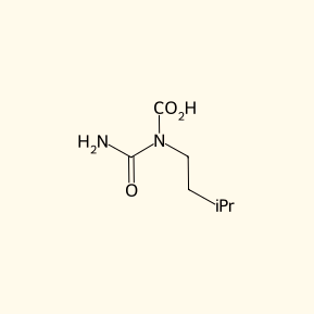 CC(C)CCN(C(N)=O)C(=O)O